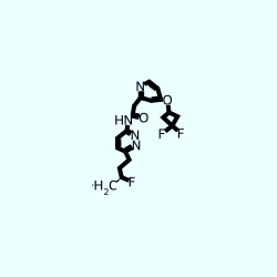 [CH2][C@@H](F)CCc1ccc(NC(=O)Cc2cc(OC3CC(F)(F)C3)ccn2)nn1